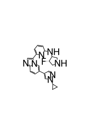 F[C@H]1CNC[C@@H]1Nc1cccc(-c2cnc3ccc(-c4cnn(C5CC5)c4)cn23)n1